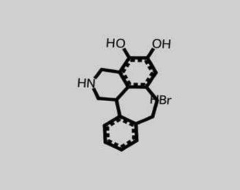 Br.Oc1cc2c3c(c1O)CNCC3c1ccccc1CC2